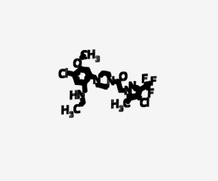 CCNCc1cc(Cl)c(OC)cc1N1CCN(C(=O)Cn2nc(C(F)(F)F)c(Cl)c2C)CC1